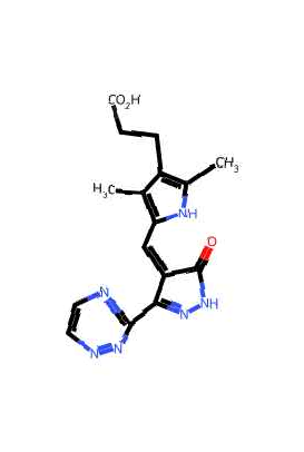 Cc1[nH]c(C=C2C(=O)NN=C2c2nccnn2)c(C)c1CCC(=O)O